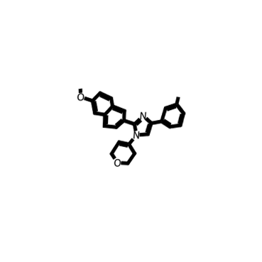 COc1ccc2cc(-c3nc(-c4cccc(C)c4)cn3C3=CCOCC3)ccc2c1